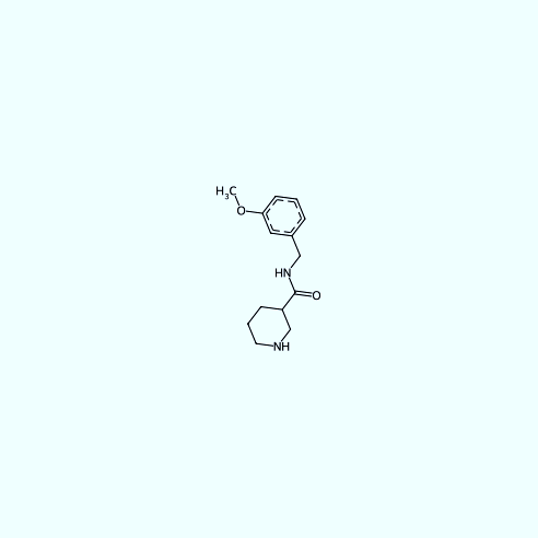 COc1cccc(CNC(=O)C2CCCNC2)c1